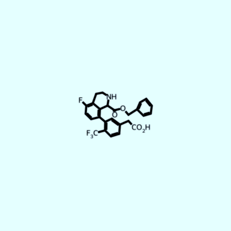 O=C(O)Cc1ccc(C(F)(F)F)c(-c2ccc(F)c3c2C(C(=O)OCc2ccccc2)NCC3)c1